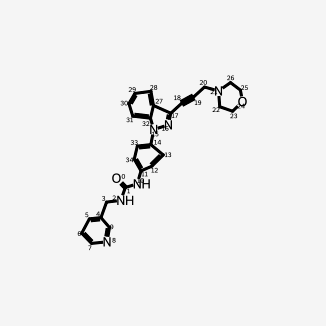 O=C(NCc1cccnc1)Nc1ccc(-n2nc(C#CCN3CCOCC3)c3ccccc32)cc1